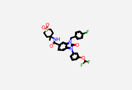 CC1(NC(=O)c2ccc3c(c2)n(Cc2ccc(F)cc2)c(=O)n3-c2cccc(OC(F)F)c2)CCS(=O)(=O)CC1